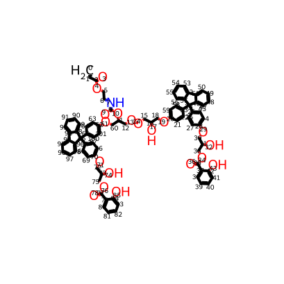 C=CC(=O)OCCNC(=O)OC(COOCC(O)COc1ccc(C2(c3ccc(OCC(O)COC(=O)c4ccccc4O)cc3)c3ccccc3-c3ccccc32)cc1)COc1ccc(C2(c3ccc(OCC(O)COC(=O)c4ccccc4O)cc3)c3ccccc3-c3ccccc32)cc1